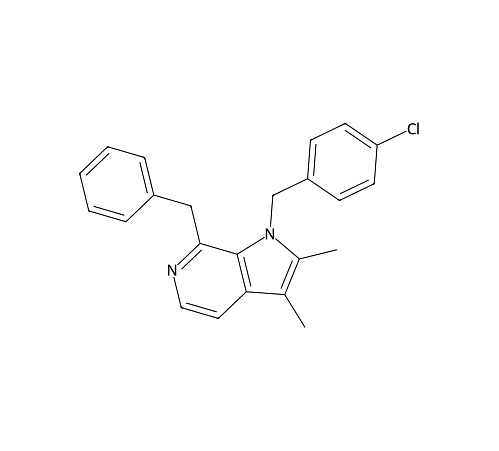 Cc1c(C)n(Cc2ccc(Cl)cc2)c2c(Cc3ccccc3)nccc12